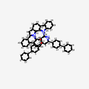 c1ccc(-c2ccc(-c3cc(-c4ccc(-c5ccccc5)cc4)nc(-n4c5ccccc5c5ccc6cc7c8ccccc8c8ccccc8n7c6c54)c3)cc2)cc1